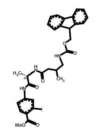 COC(=O)c1ccc(NC(=O)[C@H](C)NC(=O)CC(C)CNC(=O)OCC2c3ccccc3-c3ccccc32)cc1I